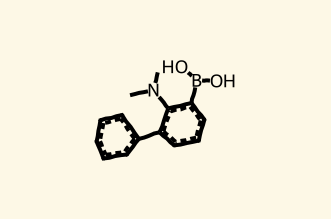 CN(C)c1c(B(O)O)cccc1-c1ccccc1